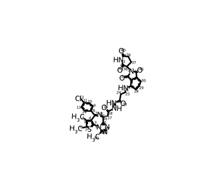 Cc1sc2c(c1C)C(c1ccc(Cl)cc1)=N[C@@H](CC(=O)NNC(=O)CCNc1cccc3c1C(=O)N(C1CCC(=O)NC1=O)C3=O)c1nnc(C)n1-2